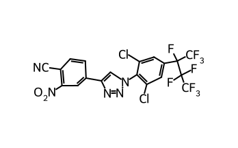 N#Cc1ccc(-c2cn(-c3c(Cl)cc(C(F)(C(F)(F)F)C(F)(F)C(F)(F)F)cc3Cl)nn2)cc1[N+](=O)[O-]